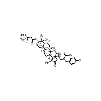 CC(C)C(=O)N(Cc1ccc(Cl)cc1)C[C@H](O)[C@@]12CC[C@]3(C)[C@H](CC[C@@H]4[C@@]5(C)CC[C@H](OC(=O)CC(C)(C)C(=O)O)C(C)(C)C5CC[C@]43C)C1=C(C(C)C)C(=O)C2